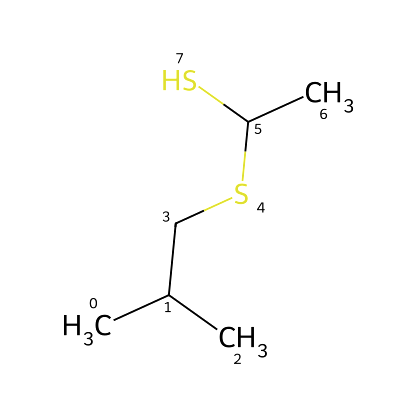 CC(C)CSC(C)S